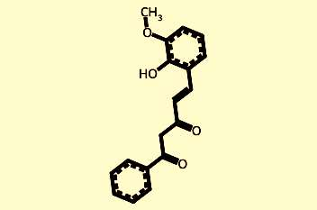 COc1cccc(C=CC(=O)CC(=O)c2ccccc2)c1O